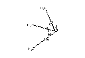 CCCCCCCCCCCCCOC(=O)CCCCNCCCC1=CC=CNC(CCCCC(=O)OCCCCCCCCCCCCC)=C1CCCCC(=O)OCCCCCCCCCCCCC